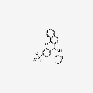 CS(=O)(=O)c1ccc(C(Nc2ccccn2)c2ccc3cccnc3c2O)cc1